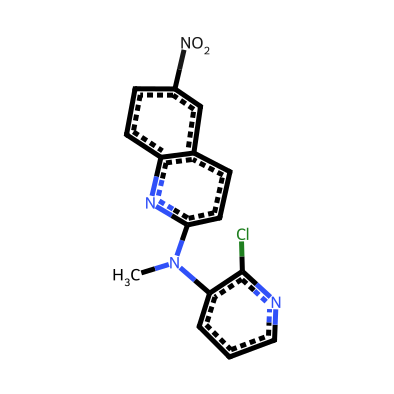 CN(c1ccc2cc([N+](=O)[O-])ccc2n1)c1cccnc1Cl